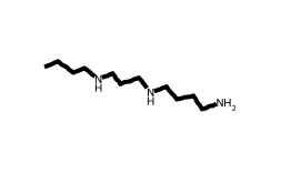 CCCCNCCCNCCCCN